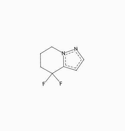 FC1(F)CCCn2nccc21